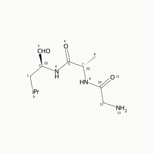 CC(C)C[C@@H](C=O)NC(=O)[C@H](C)NC(=O)CN